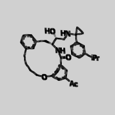 CC(=O)c1cc2cc(c1)C(=O)N[C@H]([C@H](O)CNC1(c3cccc(C(C)C)c3)CC1)Cc1cccc(c1)CCCCO2